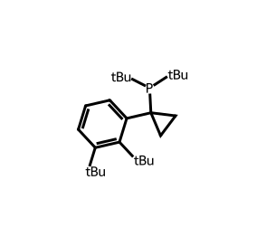 CC(C)(C)c1cccc(C2(P(C(C)(C)C)C(C)(C)C)CC2)c1C(C)(C)C